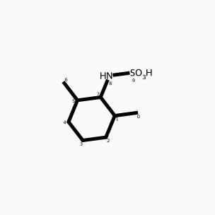 CC1CCCC(C)C1NS(=O)(=O)O